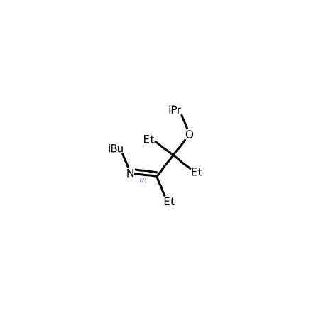 CC/C(=N/C(C)CC)C(CC)(CC)OC(C)C